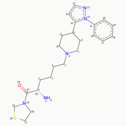 N[C@@H](CCCCN1CCC(c2ccnn2-c2ccccc2)CC1)C(=O)N1CCSC1